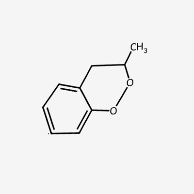 CC1Cc2cc[c]cc2OO1